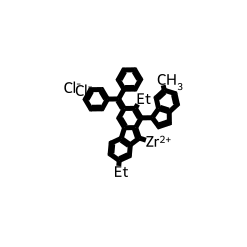 CCc1ccc2c(c1)[C]([Zr+2])=c1c-2cc(=C(c2ccccc2)c2ccccc2)c(CC)c1C1C=Cc2ccc(C)cc21.[Cl-].[Cl-]